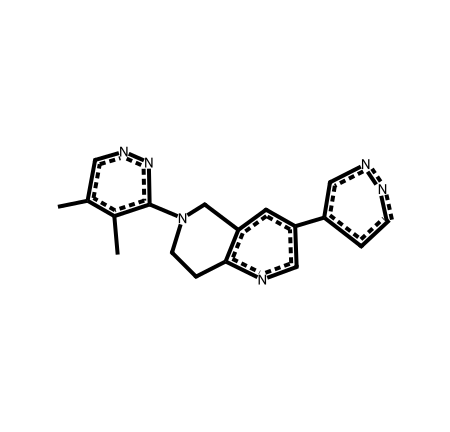 Cc1cnnc(N2CCc3ncc(-c4ccnnc4)cc3C2)c1C